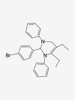 CCC1=C(CC)N(c2ccccc2)C(c2ccc(Br)cc2)N(c2ccccc2)C1